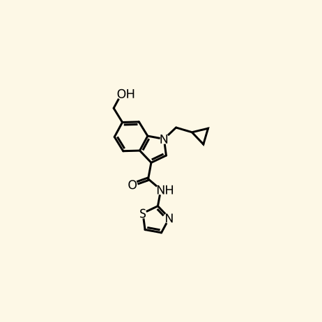 O=C(Nc1nccs1)c1cn(CC2CC2)c2cc(CO)ccc12